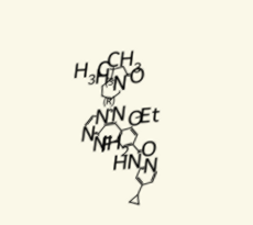 CCOc1cc(C(=O)Nc2cc(C3CC3)ccn2)cc(F)c1-c1nc([C@@H]2CC[C@@H]3N(C2)C(=O)CC3(C)C)n2ccnc(N)c12